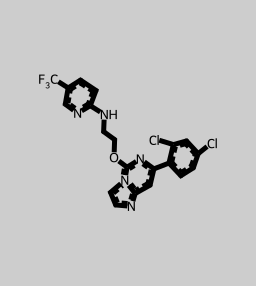 FC(F)(F)c1ccc(NCCOc2nc(-c3ccc(Cl)cc3Cl)cc3nccn23)nc1